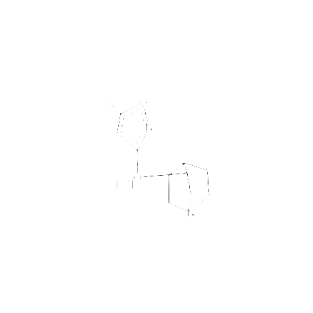 Cc1cc(OC2CN3CCC2CC3)no1.Cl